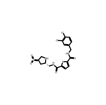 O=C(NCc1ccc(Cl)c(Cl)c1)c1ccc(C(=O)NC[C@@H]2CC(=S(=O)=O)CN2)s1